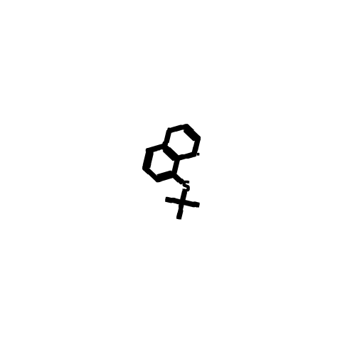 CC(C)(C)Sc1cccc2c1[CH]C=CC2